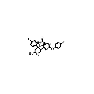 CCC1CC(c2ccc(F)cc2)(n2ccc(=O)[nH]2)C(c2ccnc(Oc3ccc(F)cc3)n2)CN1C